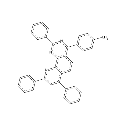 Cc1ccc(-c2nc(-c3ccccc3)nc3c2ccc2c(-c4ccccc4)cc(-c4ccccc4)nc23)cc1